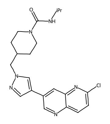 CC(C)NC(=O)N1CCC(Cn2cc(-c3cnc4ccc(Cl)nc4c3)cn2)CC1